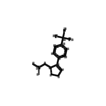 CN(C)CC1CCC=C1c1ccc(C(F)(F)F)cc1